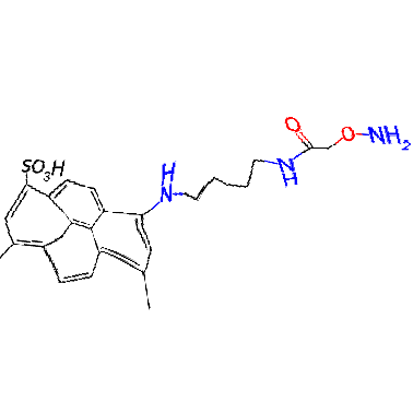 Cc1cc(NCCCCNC(=O)CON)c2ccc3c(S(=O)(=O)O)cc(C)c4ccc1c2c43